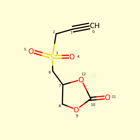 C#CCS(=O)(=O)CC1COC(=O)O1